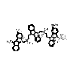 COc1ccc2c(c1)C1C(CC[Si](C)(C)CN3c4ccccc4C4C(CC[Si](C)(C)CN5c6ccc(C)cc6C6C(C)C7C=CC=CC7C65)C5C=CC=CC5C43)C3C=CC=CC3C1N2[Si](C)(C)C